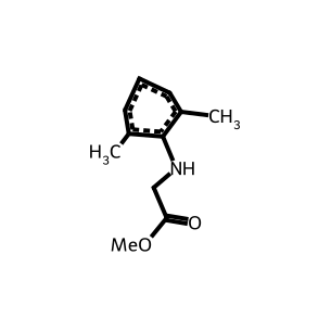 COC(=O)CNc1c(C)cccc1C